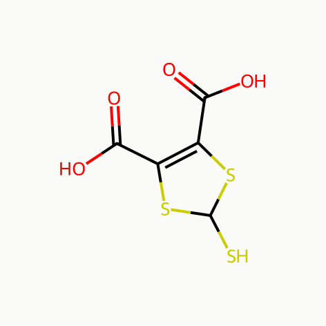 O=C(O)C1=C(C(=O)O)SC(S)S1